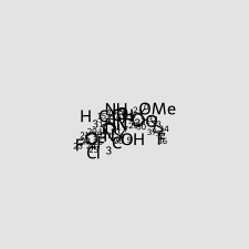 COc1cc(C(=O)NCC(O)(c2cc(C(C)(C)N)cc(-c3ccc(F)c(Cl)c3)n2)C(F)(F)F)ccc1OC1CC(F)C1